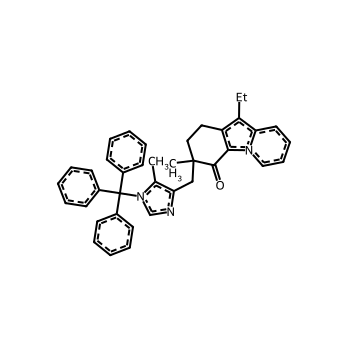 CCc1c2c(n3ccccc13)C(=O)C(C)(Cc1ncn(C(c3ccccc3)(c3ccccc3)c3ccccc3)c1C)CC2